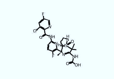 CC1(C)C(NC(=O)O)=N[C@](C)(c2nc(NC(=O)c3ncc(F)cc3Cl)ccc2F)[C@@H]2CCN[SH]21=O